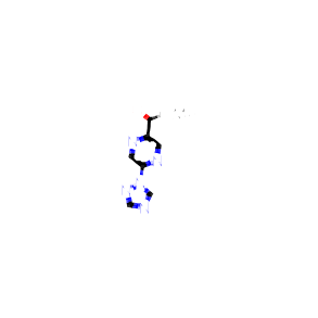 COC(=O)c1cnc(-n2cncn2)cn1